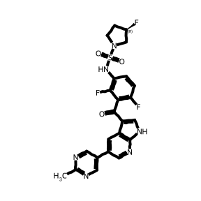 Cc1ncc(-c2cnc3[nH]cc(C(=O)c4c(F)ccc(NS(=O)(=O)N5CC[C@@H](F)C5)c4F)c3c2)cn1